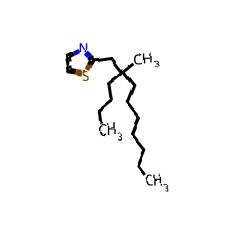 CCCCCCCC(C)(CCCC)Cc1nccs1